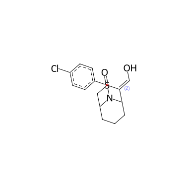 O=C1CC2CCCC(/C1=C/O)N2Sc1ccc(Cl)cc1